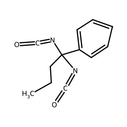 CCCC(N=C=O)(N=C=O)c1ccccc1